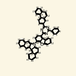 c1ccc(-c2nc(-c3ccc4c(ccc5ccccc54)c3)nc(-c3ccc(-n4c5cc6ccccc6cc5c5c6ccccc6ccc54)c4oc5ccccc5c34)n2)cc1